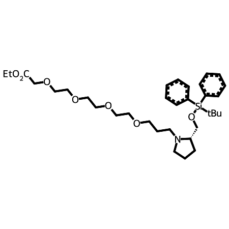 CCOC(=O)COCCOCCOCCOCCCN1CCC[C@H]1CO[Si](c1ccccc1)(c1ccccc1)C(C)(C)C